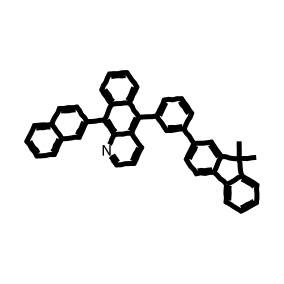 CC1(C)c2ccccc2-c2ccc(-c3cccc(-c4c5ccccc5c(-c5ccc6ccccc6c5)c5ncccc45)c3)cc21